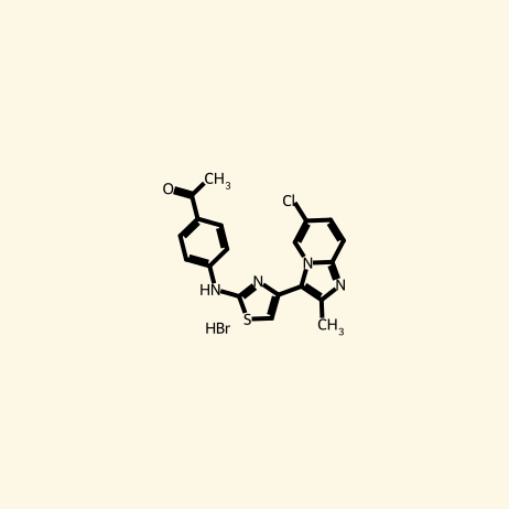 Br.CC(=O)c1ccc(Nc2nc(-c3c(C)nc4ccc(Cl)cn34)cs2)cc1